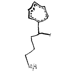 O=S(=O)(O)CCCC(I)c1ccccc1